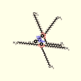 [CH2]c1ccc(-c2nc(Nc3cc(OCCCCCCCCCCCCCCCCCC)c(OCCCCCCCCCCCCCCCCCC)c(OCCCCCCCCCCCCCCCCCC)c3)nc(Nc3cc(OCCCCCCCCCCCCCCCCCC)c(OCCCCCCCCCCCCCCCCCC)c(OCCCCCCCCCCCCCCCCCC)c3)n2)cc1